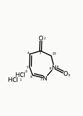 Cl.Cl.O=C1C=CC=N[N+](=O)C1